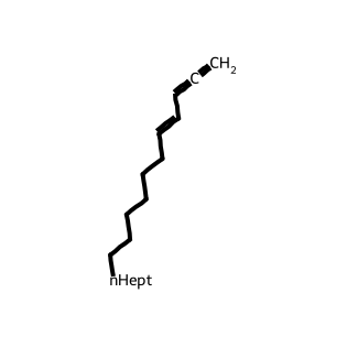 C=C=CC=CCCCCCCCCCCCCC